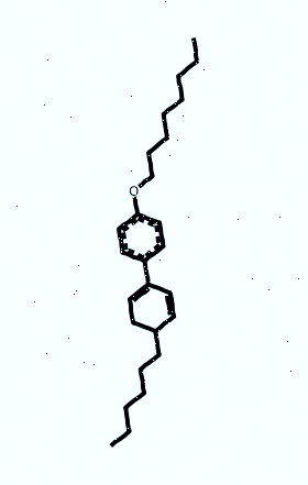 CCCCCCCCOc1ccc(C2=CCC(CCCCCC)C=C2)cc1